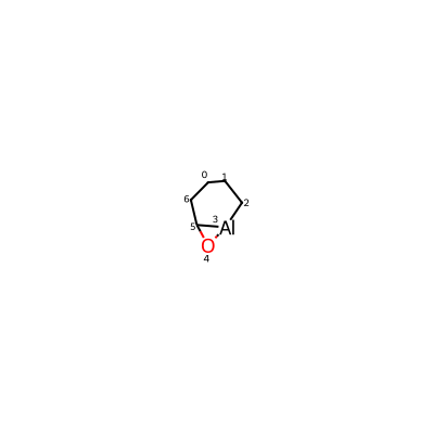 C1C[CH2][Al]2[O][CH]2C1